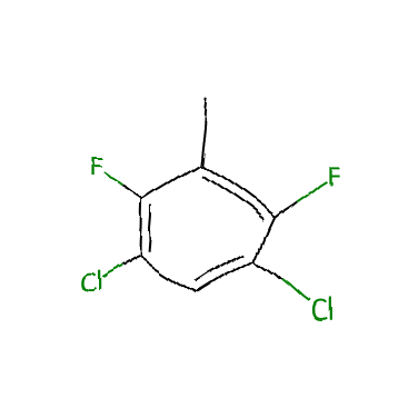 Cc1c(F)c(Cl)cc(Cl)c1F